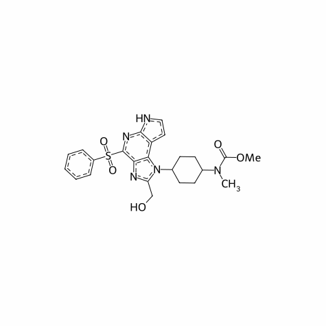 COC(=O)N(C)C1CCC(n2c(CO)nc3c(S(=O)(=O)c4ccccc4)nc4[nH]ccc4c32)CC1